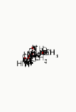 COC(=O)N1CC2(CCN(C(C)(C)Cc3nc(OC[C@@H]4CCCN4C)nc4cc(-c5c(C)ccc6[nH]ncc56)c(OC(F)(F)F)cc34)CC2)C1